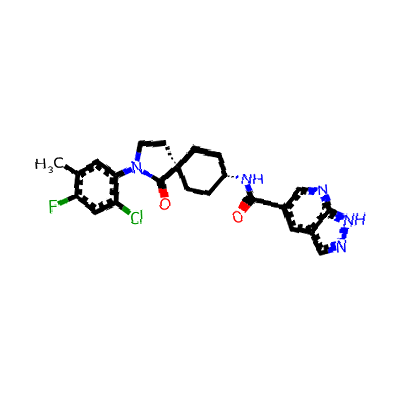 Cc1cc(N2CC[C@]3(CC[C@@H](NC(=O)c4cnc5[nH]ncc5c4)CC3)C2=O)c(Cl)cc1F